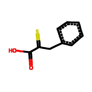 O=C(O)C(=S)Cc1ccccc1